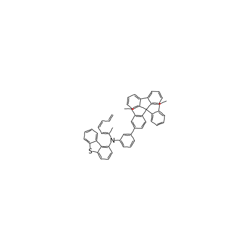 C=C/C=C\C=C(/C)N(c1cccc(-c2ccc(C3(c4ccccc4CC)c4ccccc4-c4ccccc43)c(CC)c2)c1)c1cccc2sc3ccccc3c12